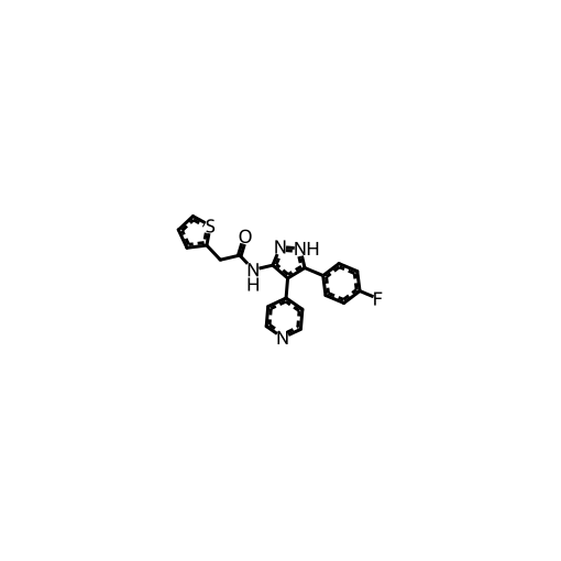 O=C(Cc1cccs1)Nc1n[nH]c(-c2ccc(F)cc2)c1-c1ccncc1